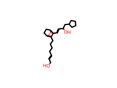 OCC=CCCCCC1C2CCC(O2)C1C=CC(O)CC1CCCC1